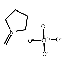 C=[N+]1CCCC1.[O-][Cl+3]([O-])([O-])[O-]